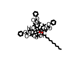 CCCCCCCCCCCCCCC(C1CC(C)(C)N(C(=O)Oc2ccccc2)C(C)(C)C1)(C1CC(C)(C)N(C(=O)Oc2ccccc2)C(C)(C)C1)C(C(=O)O)(C1CC(C)(C)N(C(=O)Oc2ccccc2)C(C)(C)C1)C(C(=O)O)(C(=O)O)C(=O)O